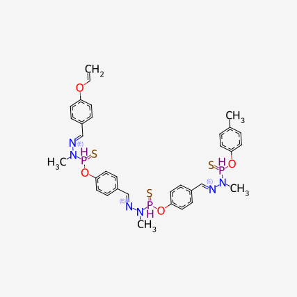 C=COc1ccc(/C=N/N(C)[PH](=S)Oc2ccc(/C=N/N(C)[PH](=S)Oc3ccc(/C=N/N(C)[PH](=S)Oc4ccc(C)cc4)cc3)cc2)cc1